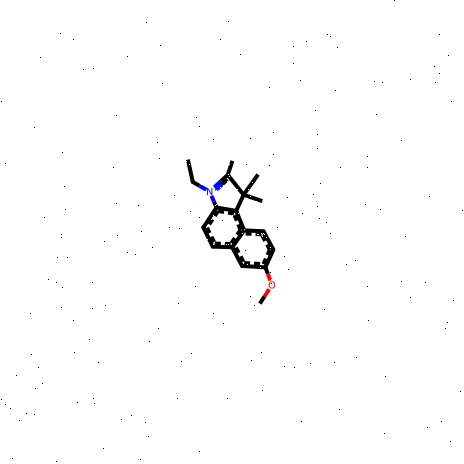 CC[N+]1=C(C)C(C)(C)c2c1ccc1cc(OC)ccc21